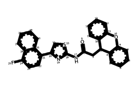 O=C(CC1c2ccccc2Oc2ccccc21)Nc1nc(-c2ccc(F)c3ccccc23)cs1